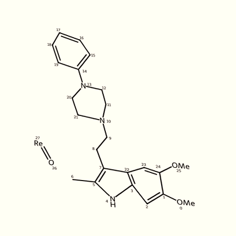 COc1cc2[nH]c(C)c(CCN3CCN(c4ccccc4)CC3)c2cc1OC.[O]=[Re]